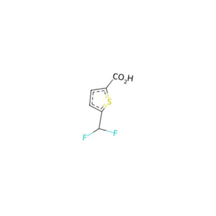 O=C(O)c1ccc(C(F)F)s1